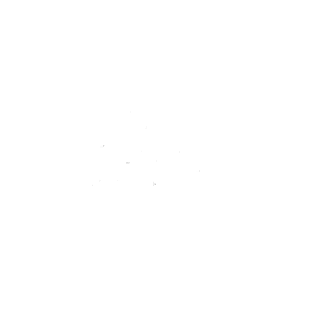 CC(=O)C(Cc1ccc(F)cc1)c1ccccc1